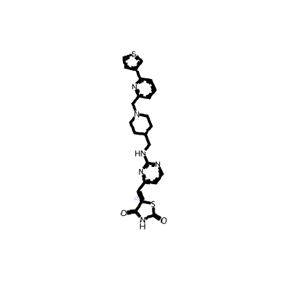 O=C1NC(=O)/C(=C/c2ccnc(NCC3CCN(Cc4cccc(-c5ccsc5)n4)CC3)n2)S1